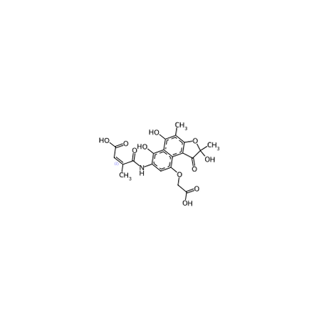 C/C(=C/C(=O)O)C(=O)Nc1cc(OCC(=O)O)c2c3c(c(C)c(O)c2c1O)OC(C)(O)C3=O